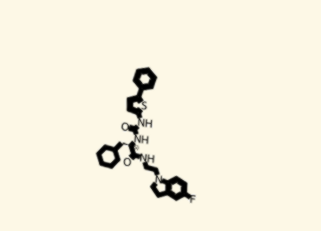 O=C(Nc1ccc(-c2ccccc2)s1)N[C@@H](CC1CCCCC1)C(=O)NCCN1CCc2cc(F)ccc21